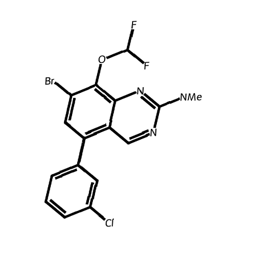 CNc1ncc2c(-c3cccc(Cl)c3)cc(Br)c(OC(F)F)c2n1